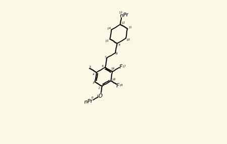 CCCOc1cc(C)c(CCC2CCC(CCC)CC2)c(F)c1F